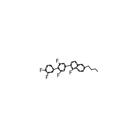 CCCCc1ccc2c(F)c(-c3cc(F)c(-c4ccc(F)c(F)c4)c(F)c3)ccc2c1